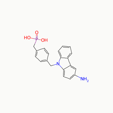 Nc1ccc2c(c1)c1ccccc1n2Cc1ccc(CP(=O)(O)O)cc1